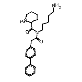 NCCCCCN(C(=O)Cc1ccc(-c2ccccc2)cc1)C(=O)C1CCCCN1